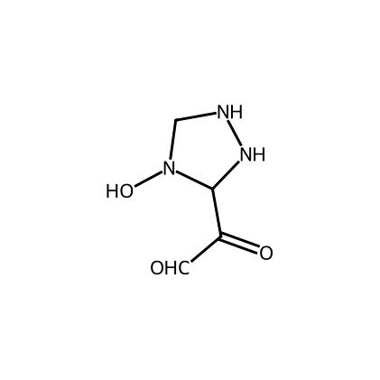 O=CC(=O)C1NNCN1O